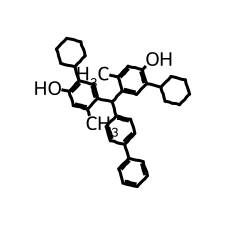 Cc1cc(O)c(C2CCCCC2)cc1C(c1ccc(-c2ccccc2)cc1)c1cc(C2CCCCC2)c(O)cc1C